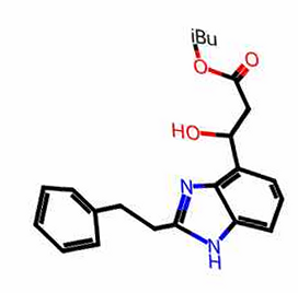 CCC(C)OC(=O)CC(O)c1cccc2[nH]c(CCc3ccccc3)nc12